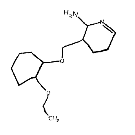 CCOC1CCCCC1OCC1CCC=NC1N